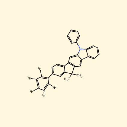 [2H]c1c([2H])c([2H])c(-c2ccc3c(c2)C(C)(C)c2cc4c5ccccc5n(-c5ccccc5)c4cc2-3)c([2H])c1[2H]